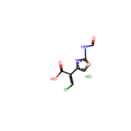 Cl.O=CNc1nc(C(=CCl)C(=O)O)cs1